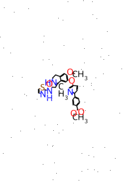 COC(=O)c1ccc(-c2ccc(Oc3cc4c(cc3OC)CCN[C@]4(C)CC(=O)Nc3nccs3)cn2)cc1